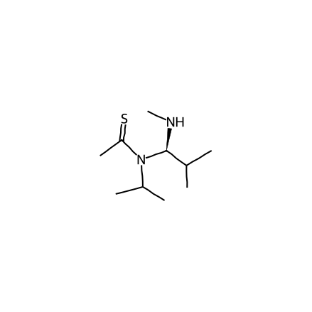 CN[C@@H](C(C)C)N(C(C)=S)C(C)C